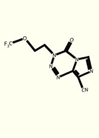 N#Cc1ncn2c(=O)n(CCOC(F)(F)F)nnc12